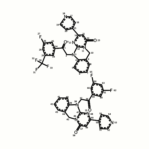 O=C(CN1c2ccccc2Cn2c1nc(-c1ccncc1)cc2=O)c1cc(F)cc(C(F)(F)F)c1.O=C(CN1c2ccccc2Cn2c1nc(-c1ccncc1)cc2=O)c1cc(F)cc(F)c1